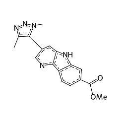 COC(=O)c1ccc2c(c1)[nH]c1cc(-c3c(C)nnn3C)cnc12